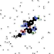 CC(C)(C)C[C@]1(C2(C)C=CC(c3cnn(C(F)F)c3)=CC2)NC(=N)N([C@H](COC(=O)NC23CC(C(F)(F)F)(C2)C3)c2ccc(Cl)c(-n3cncn3)c2)C1=O